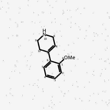 COc1ccccc1C1=CCNCC1